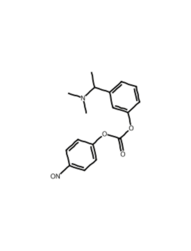 CC(c1cccc(OC(=O)Oc2ccc(N=O)cc2)c1)N(C)C